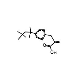 C=C(Cc1ccc(C(C)(C)CC(C)(C)C)cc1)C(=O)O